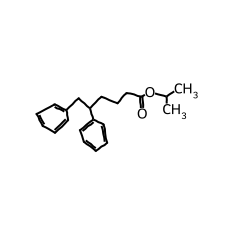 CC(C)OC(=O)CCCC(Cc1ccccc1)c1ccccc1